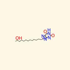 CC(O)CCCCCCCCCCCc1nc2c(c(=O)[nH]c(=O)n2C)n1C